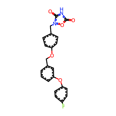 O=c1[nH]c(=O)n(Cc2ccc(OCc3cccc(Oc4ccc(F)cc4)c3)cc2)o1